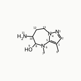 Cc1cnn2c1N(C)C(O)C(N)CC2